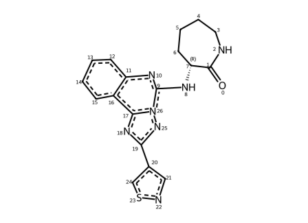 O=C1NCCCC[C@H]1Nc1nc2ccccc2c2nc(-c3cnsc3)nn12